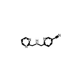 N#Cc1ccc(CNCc2ncccn2)nc1